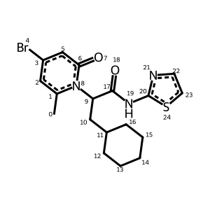 Cc1cc(Br)cc(=O)n1C(CC1CCCCC1)C(=O)Nc1nccs1